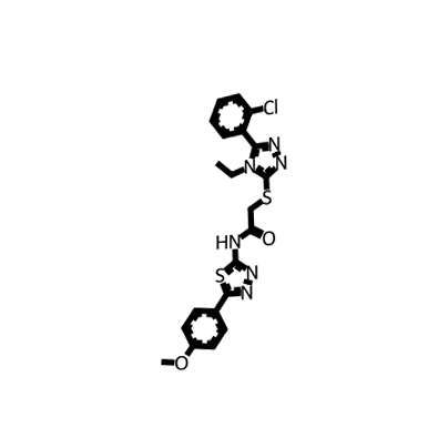 CCn1c(SCC(=O)Nc2nnc(-c3ccc(OC)cc3)s2)nnc1-c1ccccc1Cl